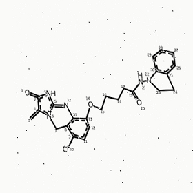 C=c1c(=O)[nH]c2n1Cc1c(Cl)ccc(OCCCCC(=O)NN3CCc4ccccc43)c1N=2